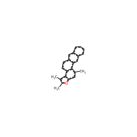 Cc1oc2cc(C)c3c4cc5ccccc5cc4ccc3c2c1C